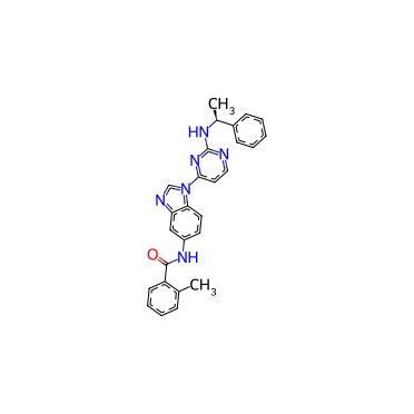 Cc1ccccc1C(=O)Nc1ccc2c(c1)ncn2-c1ccnc(N[C@@H](C)c2ccccc2)n1